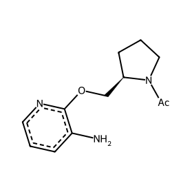 CC(=O)N1CCC[C@@H]1COc1ncccc1N